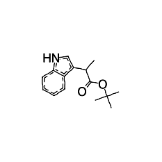 CC(C(=O)OC(C)(C)C)c1c[nH]c2ccccc12